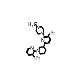 CC(C)c1cccnc1N1CCCC(c2ccc(C(C)C)c(N3CCN(C)CC3)n2)C1